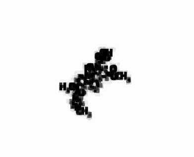 COC(=O)c1ccc2c(c1)N(CCS(=O)(=O)O)C(=O)/C2=C(\Nc1ccc(N(C)C(=O)CN2CCN(C)CC2)cc1)c1ccccc1